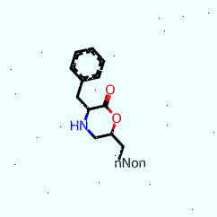 CCCCCCCCCCC1CNC(Cc2ccccc2)C(=O)O1